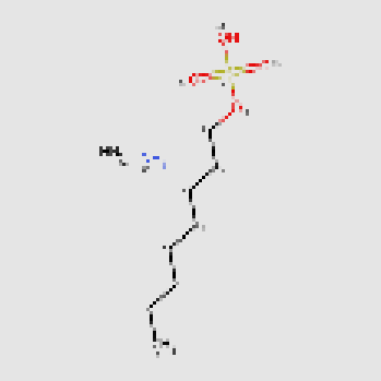 CCCCCCCCOS(=O)(=O)O.N.[NaH]